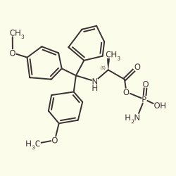 COc1ccc(C(N[C@@H](C)C(=O)OP(N)(=O)O)(c2ccccc2)c2ccc(OC)cc2)cc1